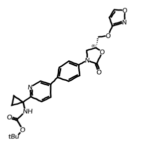 CC(C)(C)OC(=O)NC1(c2ccc(-c3ccc(N4C[C@H](COc5ccon5)OC4=O)cc3)cn2)CC1